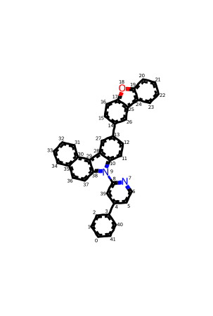 c1ccc(-c2ccnc(-n3c4ccc(-c5ccc6oc7ccccc7c6c5)cc4c4c5ccccc5ccc43)c2)cc1